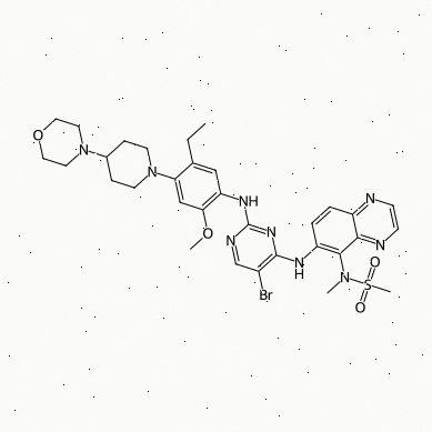 CCc1cc(Nc2ncc(Br)c(Nc3ccc4nccnc4c3N(C)S(C)(=O)=O)n2)c(OC)cc1N1CCC(N2CCOCC2)CC1